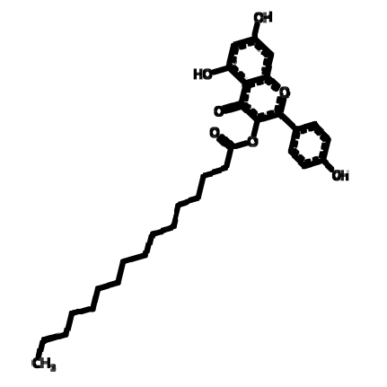 CCCCCCCCCCCCCCCC(=O)Oc1c(-c2ccc(O)cc2)oc2cc(O)cc(O)c2c1=O